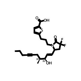 CCCC#CC[C@H](C)[C@H](O)C=CC1CC(F)(F)C(=O)N1CCCc1ccc(C(=O)O)s1